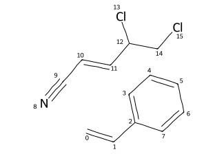 C=Cc1ccccc1.N#CC=CC(Cl)CCl